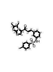 Cc1ccc(S(=O)(=O)Nc2cccc(/C=C/C(=O)c3cnc4sc(C)c(C)n34)c2)cc1